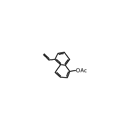 C=Cc1cccc2c(OC(C)=O)cccc12